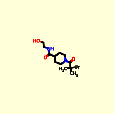 CC(C)C(C)(C)C(=O)N1CCC(C(=O)NCCO)CC1